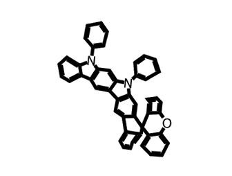 c1ccc(-n2c3ccccc3c3cc4c5cc6c(cc5n(-c5ccccc5)c4cc32)C2(c3ccccc3Oc3ccccc32)c2ccccc2-6)cc1